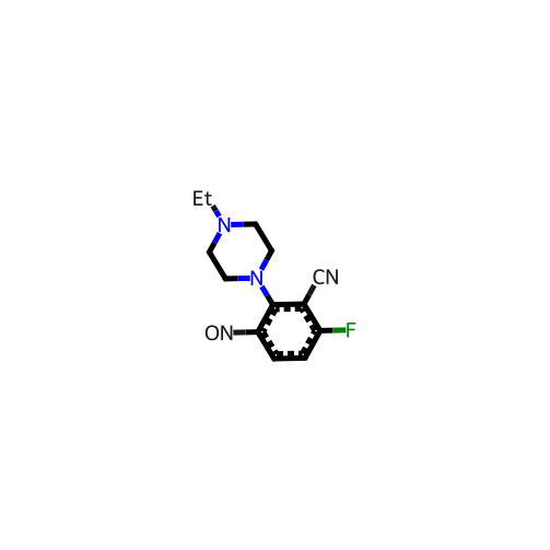 CCN1CCN(c2c(N=O)ccc(F)c2C#N)CC1